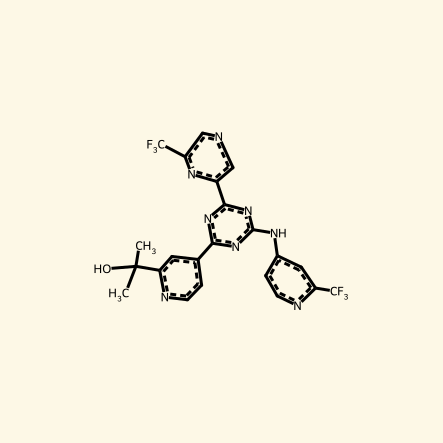 CC(C)(O)c1cc(-c2nc(Nc3ccnc(C(F)(F)F)c3)nc(-c3cncc(C(F)(F)F)n3)n2)ccn1